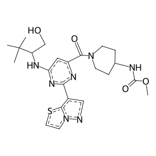 COC(=O)NC1CCN(C(=O)c2cc(NC(CO)C(C)(C)C)nc(-c3cnn4ccsc34)n2)CC1